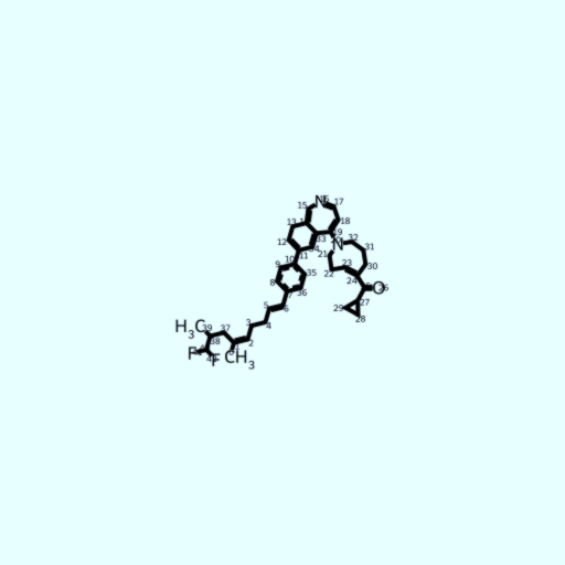 C/C(=C/CC/C=C/c1ccc(C2=CCC3=CN=CC=C(N4CC/C=C(\C(=O)C5CC5)CCC4)C3=C2)cc1)CC(C)C(F)F